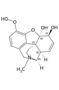 CN1CC[C@]23c4c5ccc(OO)c4O[C@@]2(O)[C@@H](O)C=C[C@H]3[C@H]1C5